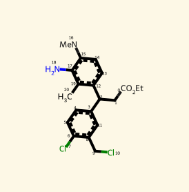 CCOC(=O)CC(c1ccc(Cl)c(CCl)c1)c1ccc(NC)c(N)c1C